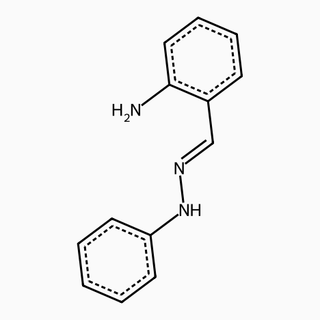 Nc1ccccc1C=NNc1ccccc1